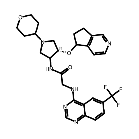 O=C(CNc1ncnc2ccc(C(F)(F)F)cc12)NC1CN(C2CCOCC2)C[C@@H]1OC1CCc2cnccc21